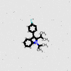 CC(C)c1c(-c2ccc(F)cc2)c2ccccc2n1C(C)C